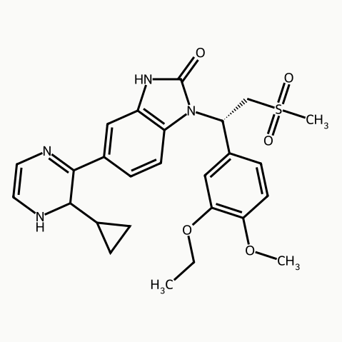 CCOc1cc([C@@H](CS(C)(=O)=O)n2c(=O)[nH]c3cc(C4=NC=CNC4C4CC4)ccc32)ccc1OC